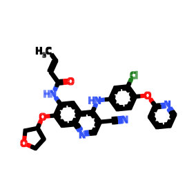 C/C=C/C(=O)Nc1cc2c(Nc3ccc(Oc4ccccn4)c(Cl)c3)c(C#N)cnc2cc1OC1CCOC1